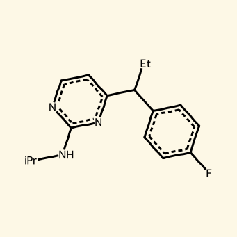 [CH2]CC(c1ccc(F)cc1)c1ccnc(NC(C)C)n1